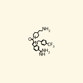 N=C(N)c1ccc2cc(C(=O)N3CCC(CCN)CC3)n(Cc3ccc(C(F)(F)F)cc3)c2c1